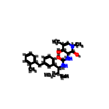 CC1=CN(C)C(=O)C(NC(=O)NC(CC(=O)O)c2cccc(Cc3ccccc3C)c2)C1=O.[NaH]